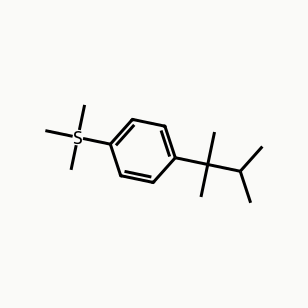 CC(C)C(C)(C)c1ccc(S(C)(C)C)cc1